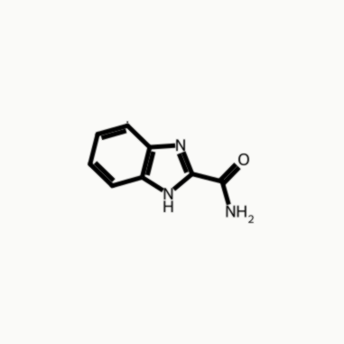 NC(=O)c1nc2[c]cccc2[nH]1